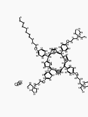 CCCCCCCCCCCOc1ccc(-c2c3nc(c(-c4ccc(OCCC[N+](CC)(CC)CC)cc4)c4ccc([nH]4)c(-c4ccc(OCCC[N+](CC)(CC)CC)cc4)c4nc(c(-c5ccc(OCCC[N+](CC)(CC)CC)cc5)c5ccc2[nH]5)C=C4)C=C3)cc1.[Cl-].[Cl-].[Cl-]